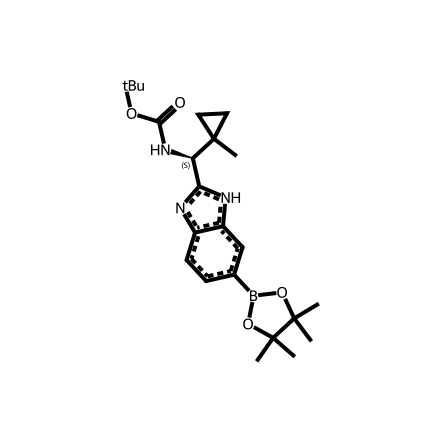 CC(C)(C)OC(=O)N[C@H](c1nc2ccc(B3OC(C)(C)C(C)(C)O3)cc2[nH]1)C1(C)CC1